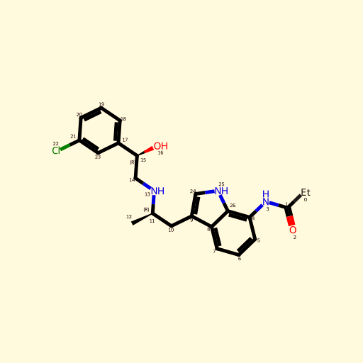 CCC(=O)Nc1cccc2c(C[C@@H](C)NC[C@H](O)c3cccc(Cl)c3)c[nH]c12